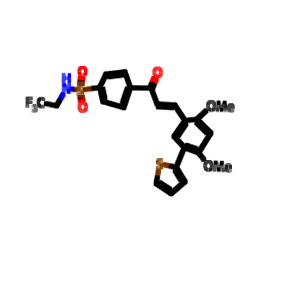 COc1cc(OC)c(-c2cccs2)cc1C=CC(=O)c1ccc(S(=O)(=O)NCC(F)(F)F)cc1